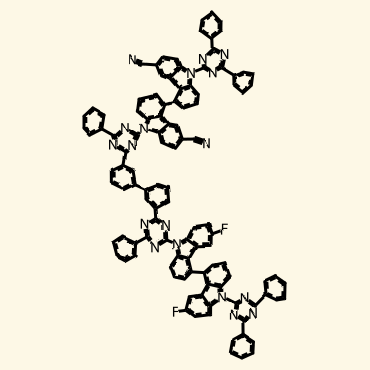 N#Cc1ccc2c(c1)c1c(-c3cccc4c3c3cc(C#N)ccc3n4-c3nc(-c4ccccc4)nc(-c4cccc(-c5cccc(-c6nc(-c7ccccc7)nc(-n7c8ccc(F)cc8c8c(-c9cccc%10c9c9cc(F)ccc9n%10-c9nc(-c%10ccccc%10)nc(-c%10ccccc%10)n9)cccc87)n6)c5)c4)n3)cccc1n2-c1nc(-c2ccccc2)nc(-c2ccccc2)n1